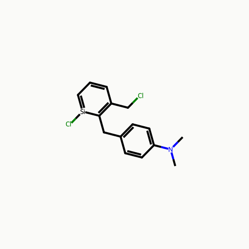 CN(C)c1ccc(Cc2c(CCl)ccc[si]2Cl)cc1